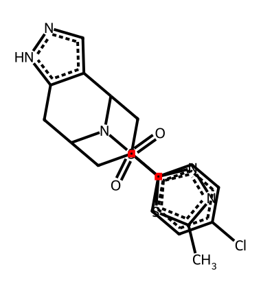 Cc1nnc(C2CC3Cc4[nH]ncc4C(C2)N3S(=O)(=O)c2ccc(Cl)cc2)s1